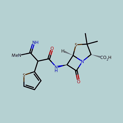 CNC(=N)C(C(=O)N[C@@H]1C(=O)N2[C@@H]1SC(C)(C)[C@@H]2C(=O)O)c1cccs1